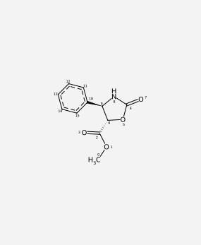 COC(=O)[C@H]1OC(=O)N[C@@H]1c1ccccc1